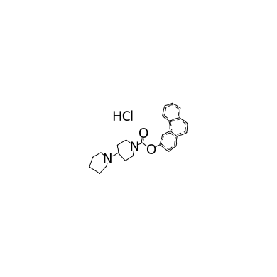 Cl.O=C(Oc1ccc2ccc3ccccc3c2c1)N1CCC(N2CCCCC2)CC1